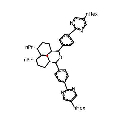 CCCCCCc1cnc(-c2ccc(C(OC(c3ccc(-c4ncc(CCCCCC)cn4)cc3)[C@H]3CC[C@H](CCC)CC3)[C@H]3CC[C@H](CCC)CC3)cc2)nc1